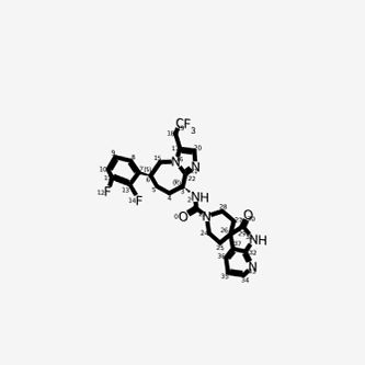 O=C(N[C@@H]1CC[C@@H](c2cccc(F)c2F)Cn2c(CC(F)(F)F)cnc21)N1CCC2(CC1)C(=O)Nc1ncccc12